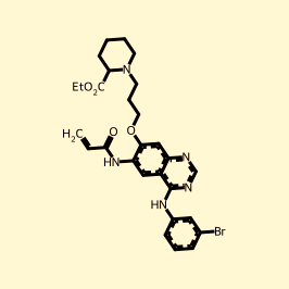 C=CC(=O)Nc1cc2c(Nc3cccc(Br)c3)ncnc2cc1OCCCN1CCCCC1C(=O)OCC